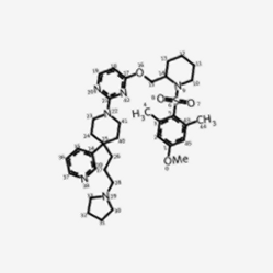 COc1cc(C)c(S(=O)(=O)N2CCCCC2COc2ccnc(N3CCC(CCCN4CCCC4)(c4cccnc4)CC3)n2)c(C)c1